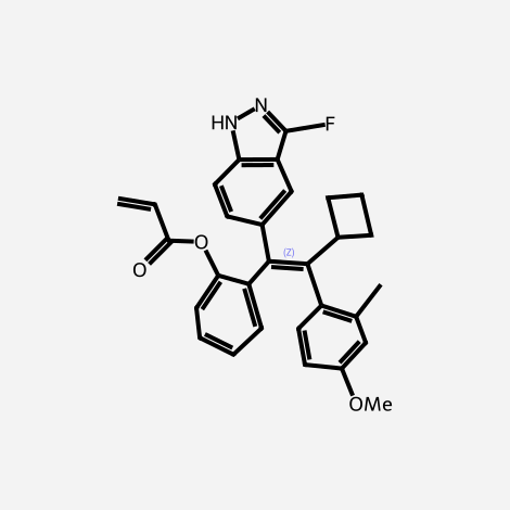 C=CC(=O)Oc1ccccc1/C(=C(\c1ccc(OC)cc1C)C1CCC1)c1ccc2[nH]nc(F)c2c1